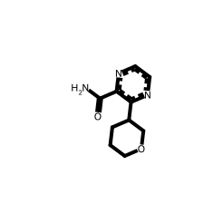 NC(=O)c1nccnc1C1CCCOC1